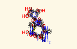 C[C@@H](O)C(CO)NC(=O)[C@@H]1CSSC[C@H](NC(=O)[C@@H](Cc2ccccc2)NC(=O)CN2CCN(CC(=O)O)CCN(CC(=O)O)CCN(CC(=O)O)CC2)C(=O)N[C@@H](Cc2ccc(O)cc2)C(=O)N[C@H](Cc2c[nH]c3ccccc23)C(=O)N[C@@H](CCCCN)C(=O)N[C@@H]([C@@H](C)O)C(=O)N1